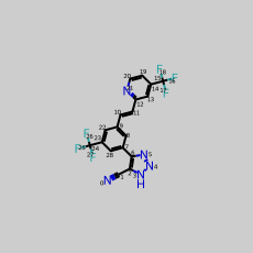 N#Cc1[nH]nnc1-c1cc(/C=C/c2cc(C(F)(F)F)ccn2)cc(C(F)(F)F)c1